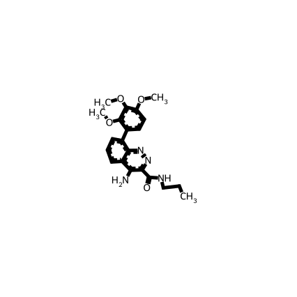 CCCNC(=O)c1nnc2c(-c3ccc(OC)c(OC)c3OC)cccc2c1N